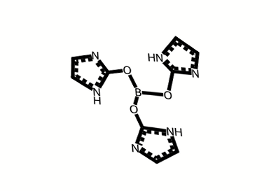 c1c[nH]c(OB(Oc2ncc[nH]2)Oc2ncc[nH]2)n1